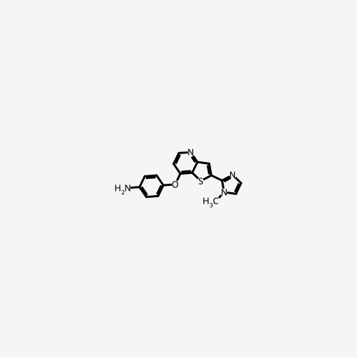 Cn1ccnc1-c1cc2nccc(Oc3ccc(N)cc3)c2s1